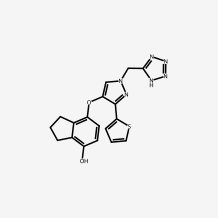 Oc1ccc(Oc2cn(Cc3nnn[nH]3)nc2-c2cccs2)c2c1CCC2